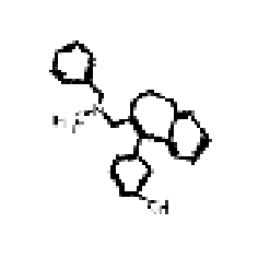 CN(CC1=C(c2cccc(O)c2)c2ccccc2CCC1)Cc1ccccc1